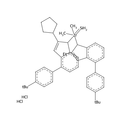 CCC1=Cc2c(-c3ccc(C(C)(C)C)cc3)cccc2[CH]1[Zr]([CH3])([CH3])(=[SiH2])[CH]1C(C2CCCC2)=Cc2c(-c3ccc(C(C)(C)C)cc3)cccc21.Cl.Cl